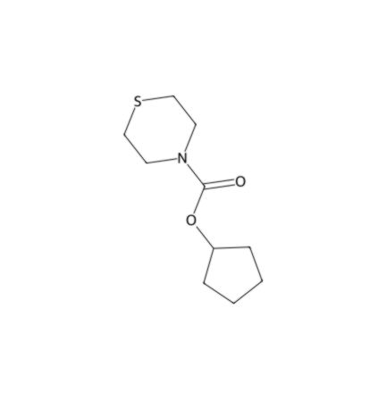 O=C(OC1CCCC1)N1CCSCC1